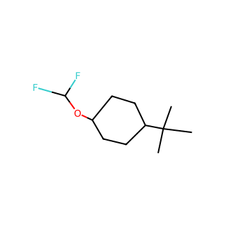 CC(C)(C)C1CCC(OC(F)F)CC1